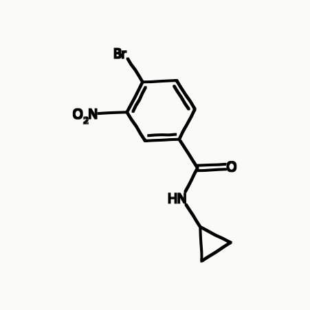 O=C(NC1CC1)c1ccc(Br)c([N+](=O)[O-])c1